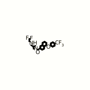 O=C(c1ccc2c(Oc3ccc(C(F)(F)F)cc3)cccc2c1)N1CC(CNCC(F)F)C1